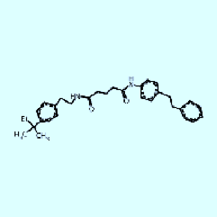 CCC(C)(C)c1ccc(CCNC(=O)CCCC(=O)Nc2ccc(CCc3ccccc3)cc2)cc1